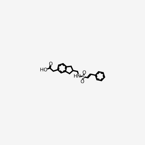 O=C(O)Cc1ccc2c(c1)CC(CNS(=O)(=O)/C=C/c1ccccc1)C2